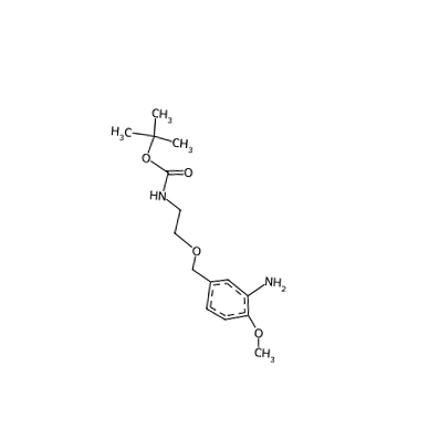 COc1ccc(COCCNC(=O)OC(C)(C)C)cc1N